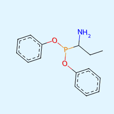 CCC(N)P(Oc1ccccc1)Oc1ccccc1